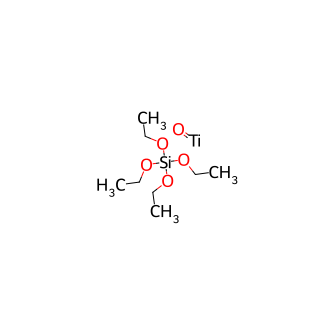 CCO[Si](OCC)(OCC)OCC.[O]=[Ti]